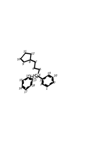 c1ccc([SiH](CCCC2CCCC2)c2ccccc2)cc1